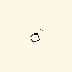 C1=CSSC1.[Hg]